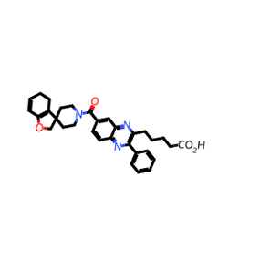 O=C(O)CCCCc1nc2cc(C(=O)N3CCC4(CC3)COC3=C4CCC=C3)ccc2nc1-c1ccccc1